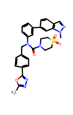 Cn1ncc2ccc(-c3cccc(N(Cc4ccc(-c5nnc(C(F)(F)F)o5)cc4)C(=O)N4CCS(=O)(=O)CC4)c3)cc21